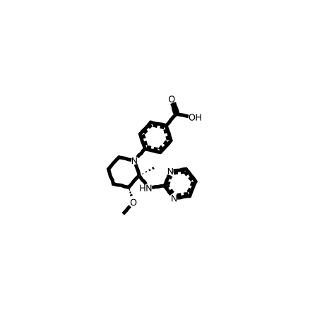 CO[C@@H]1CCCN(c2ccc(C(=O)O)cc2)[C@@]1(C)Nc1ncccn1